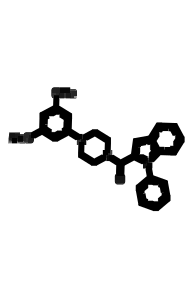 COc1cc(OC)cc(N2CCN(C(=O)c3cc4ccccc4n3-c3ccccc3)CC2)c1